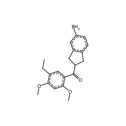 Bc1ccc2c(c1)CC(C(=O)c1cc(CC)c(OC)cc1OC)C2